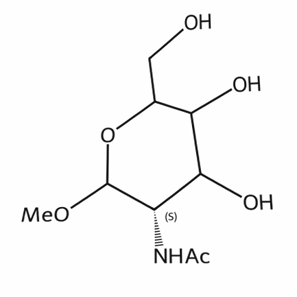 COC1OC(CO)C(O)C(O)[C@@H]1NC(C)=O